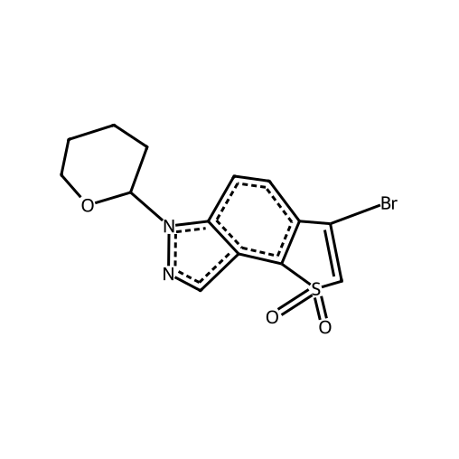 O=S1(=O)C=C(Br)c2ccc3c(cnn3C3CCCCO3)c21